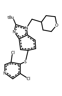 CC(C)(C)c1nc2cc(Sc3c(Cl)cncc3Cl)ccc2n1CC1CCOCC1